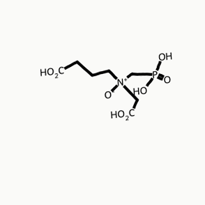 O=C(O)CCC[N+]([O-])(CC(=O)O)CP(=O)(O)O